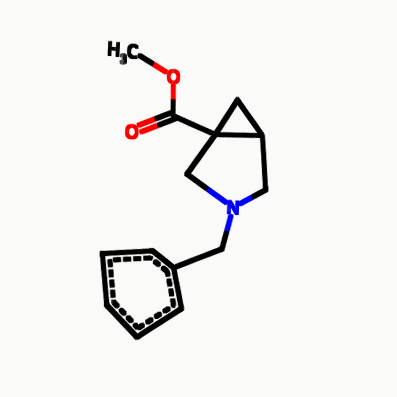 COC(=O)C12CC1CN(Cc1ccccc1)C2